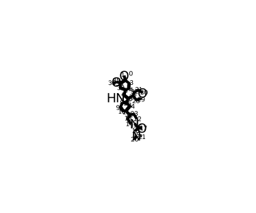 COc1ccc(-c2[nH]c3ccc(C4CCN(C(=O)CN(C)C)CC4)cc3c2C2CCOCC2)cc1OC